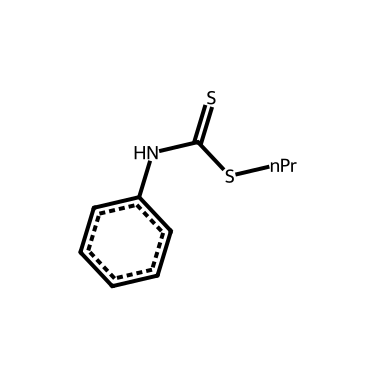 CCCSC(=S)Nc1ccccc1